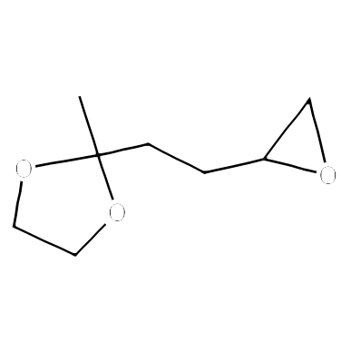 CC1(CCC2CO2)OCCO1